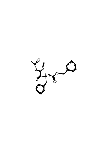 CSC(OC(C)=O)C(=O)[C@H](Cc1ccccc1)NC(=O)OCc1ccccc1